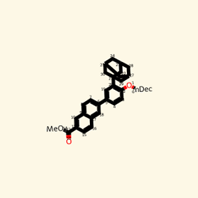 CCCCCCCCCCOc1ccc(-c2ccc3cc(C(=O)OC)ccc3c2)cc1C12CC3CC(CC(C3)C1)C2